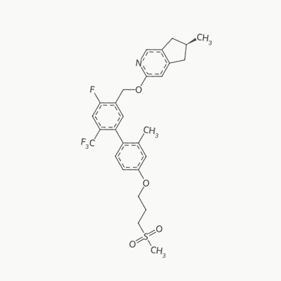 Cc1cc(OCCCS(C)(=O)=O)ccc1-c1cc(COc2cc3c(cn2)C[C@@H](C)C3)c(F)cc1C(F)(F)F